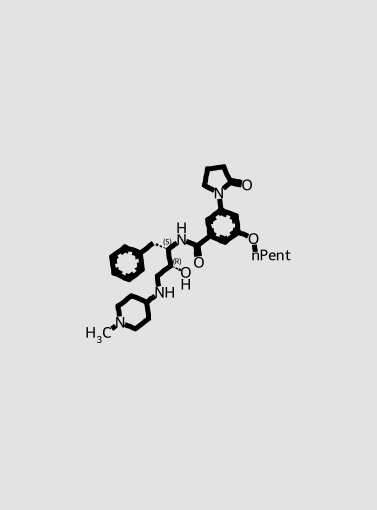 CCCCCOc1cc(C(=O)N[C@@H](Cc2ccccc2)[C@H](O)CNC2CCN(C)CC2)cc(N2CCCC2=O)c1